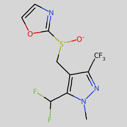 Cn1nc(C(F)(F)F)c(C[S+]([O-])c2ncco2)c1C(F)F